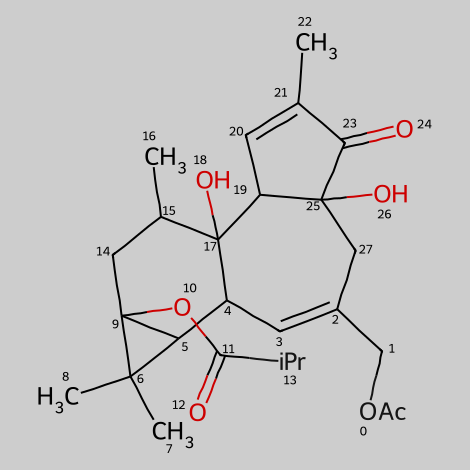 CC(=O)OCC1=CC2C3C(C)(C)C3(OC(=O)C(C)C)CC(C)C2(O)C2C=C(C)C(=O)C2(O)C1